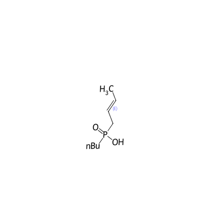 C/C=C/CP(=O)(O)CCCC